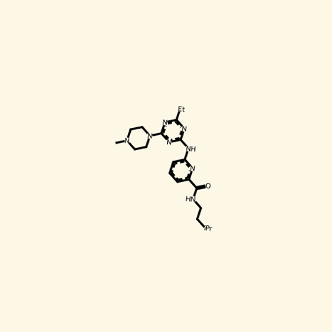 CCc1nc(Nc2cccc(C(=O)NCCC(C)C)n2)nc(N2CCN(C)CC2)n1